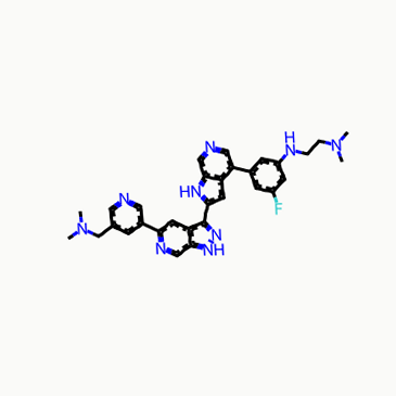 CN(C)CCNc1cc(F)cc(-c2cncc3[nH]c(-c4n[nH]c5cnc(-c6cncc(CN(C)C)c6)cc45)cc23)c1